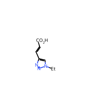 CCn1cc(C=CC(=O)O)nn1